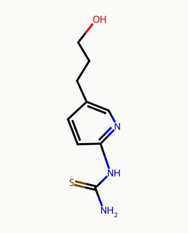 NC(=S)Nc1ccc(CCCO)cn1